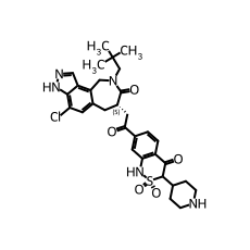 CC(C)(C)CN1Cc2c(cc(Cl)c3[nH]ncc23)C[C@@H](CC(=O)c2ccc3c(c2)NS(=O)(=O)C(C2CCNCC2)C3=O)C1=O